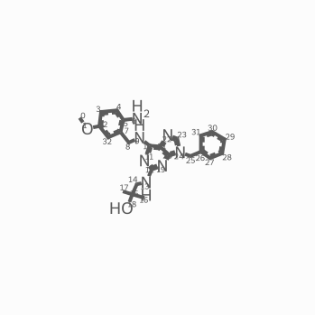 COc1ccc(N)c(CNc2nc(NCC(C)(C)O)nc3c2ncn3Cc2ccccc2)c1